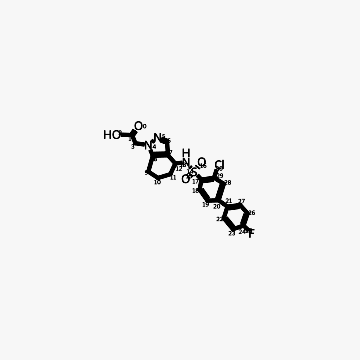 O=C(O)Cn1ncc2c1CCCC2NS(=O)(=O)c1ccc(-c2ccc(F)cc2)cc1Cl